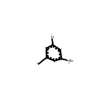 CCCCc1cc(C)cc(CC)c1